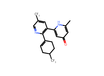 Cc1cc(=O)cc(-c2cc(C(F)(F)F)cnc2C2=CCC(C(F)(F)F)CC2)[nH]1